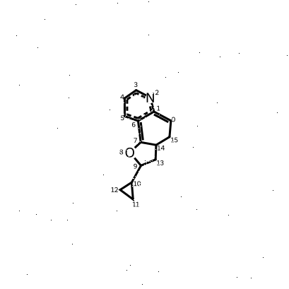 C1=c2ncccc2=C2OC(C3CC3)CC2C1